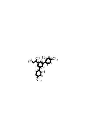 CCOC(=O)C(CC(C)C)c1cc(-c2ccc(C(F)(F)F)cc2)cc(C2CCC(C(F)(F)F)CN2)c1